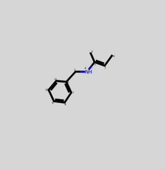 C/C=C(\C)NCc1ccccc1